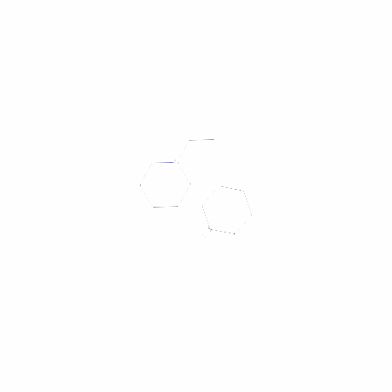 CCN1CCCCC1.O=C1CCCCC1